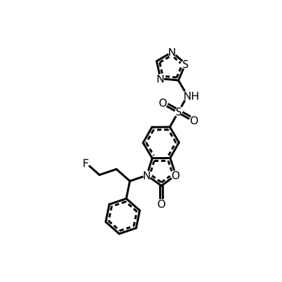 O=c1oc2cc(S(=O)(=O)Nc3ncns3)ccc2n1C(CCF)c1ccccc1